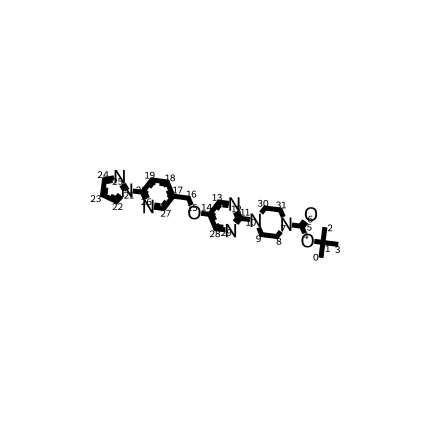 CC(C)(C)OC(=O)N1CCN(c2ncc(OCc3ccc(-n4cccn4)nc3)cn2)CC1